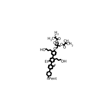 C=C(C)C(=O)OCC(CO)(COC(=O)C(=C)C)COc1ccc(-c2cc(CC)c(-c3ccc(C4CCC(CCCCC)CC4)cc3F)cc2CCCO)cc1CCCO